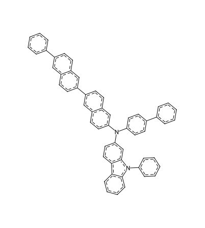 c1ccc(-c2ccc(N(c3ccc4cc(-c5ccc6cc(-c7ccccc7)ccc6c5)ccc4c3)c3ccc4c5ccccc5n(-c5ccccc5)c4c3)cc2)cc1